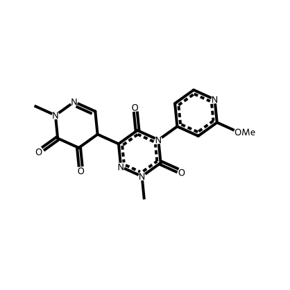 COc1cc(-n2c(=O)c(C3C=NN(C)C(=O)C3=O)nn(C)c2=O)ccn1